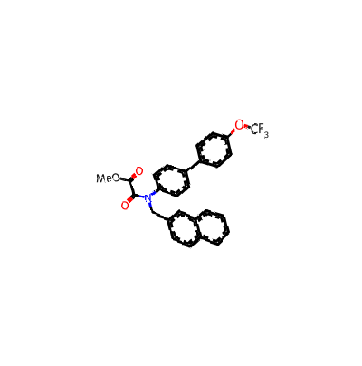 COC(=O)C(=O)N(Cc1ccc2ccccc2c1)c1ccc(-c2ccc(OC(F)(F)F)cc2)cc1